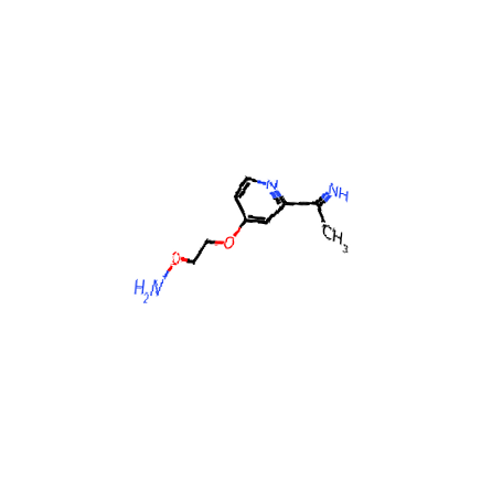 CC(=N)c1cc(OCCON)ccn1